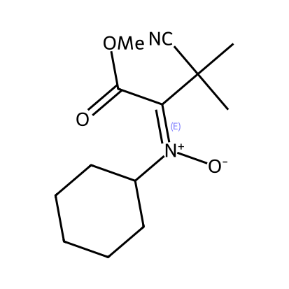 COC(=O)/C(=[N+](/[O-])C1CCCCC1)C(C)(C)C#N